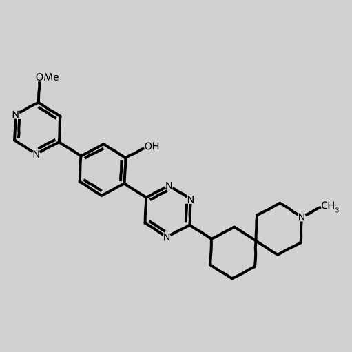 COc1cc(-c2ccc(-c3cnc(C4CCCC5(CCN(C)CC5)C4)nn3)c(O)c2)ncn1